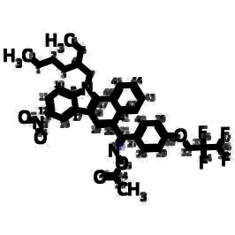 CCCCC(CC)Cn1c2ccc([N+](=O)[O-])cc2c2cc(/C(=N/OC(C)=O)c3ccc(OCC(F)(F)C(F)F)cc3)c3ccccc3c21